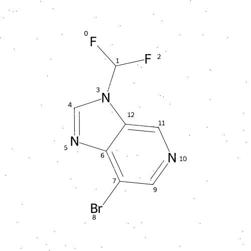 FC(F)n1cnc2c(Br)cncc21